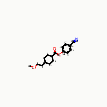 COCCC1CCC(C(=O)Oc2ccc(C#N)cc2)CC1